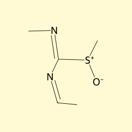 C/C=N\C(=N/C)[S+](C)[O-]